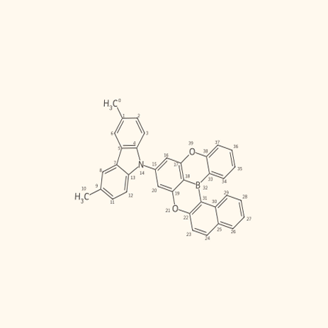 Cc1ccc2c(c1)c1cc(C)ccc1n2-c1cc2c3c(c1)Oc1ccc4ccccc4c1B3c1ccccc1O2